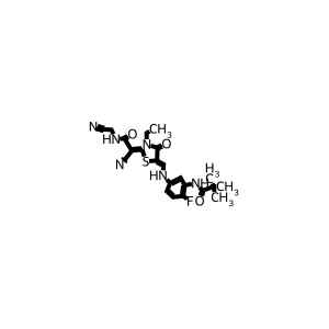 CCn1c(=C(C#N)C(=O)NCC#N)sc(=CNc2ccc(F)c(NC(=O)C(C)(C)C)c2)c1=O